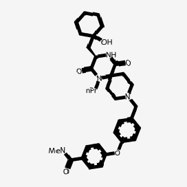 CCCN1C(=O)[C@@H](CC2(O)CCCCC2)NC(=O)C12CCN(Cc1ccc(Oc3ccc(C(=O)NC)cc3)cc1)CC2